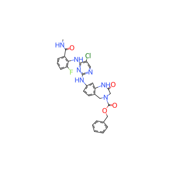 CNC(=O)c1cccc(F)c1Nc1nc(Nc2ccc3c(c2)NC(=O)CN(C(=O)OCc2ccccc2)C3)ncc1Cl